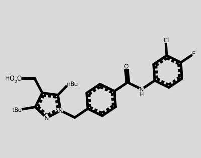 CCCCc1c(CC(=O)O)c(C(C)(C)C)nn1Cc1ccc(C(=O)Nc2ccc(F)c(Cl)c2)cc1